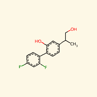 CC(CO)c1ccc(-c2ccc(F)cc2F)c(O)c1